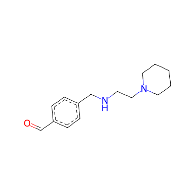 O=Cc1ccc(CNCCN2CCCCC2)cc1